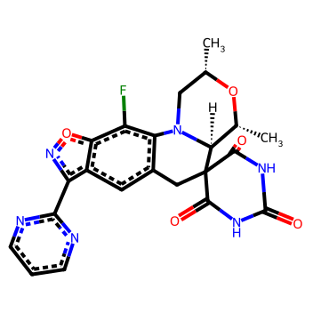 C[C@H]1CN2c3c(cc4c(-c5ncccn5)noc4c3F)CC3(C(=O)NC(=O)NC3=O)[C@@H]2[C@@H](C)O1